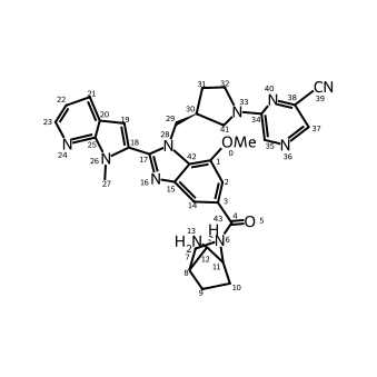 COc1cc(C(=O)N2CC3CCC2[C@@H]3N)cc2nc(-c3cc4cccnc4n3C)n(C[C@H]3CCN(c4cncc(C#N)n4)C3)c12